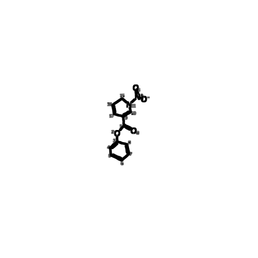 O=C(Oc1ccccc1)C1=CN([N+](=O)[O-])CC=C1